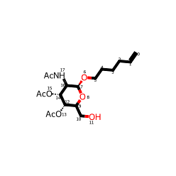 C=CCCCCO[C@H]1OC(CO)[C@H](OC(C)=O)[C@H](OC(C)=O)C1NC(C)=O